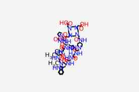 CC(C)C(NC(=O)[C@H](C)NC(=O)[C@H](Cc1c[nH]c2ccccc12)NC(=O)CNC(=O)CNC(=O)CN1CCC(NC(=O)CN2CCN(CC(=O)O)CCN(CC(=O)O)CCN(CC(=O)O)CC2)CC1)C(=O)NCC(=O)N[C@@H](Cc1cnc[nH]1)C(=O)NCCN1CCC[C@H]1C(N)=O